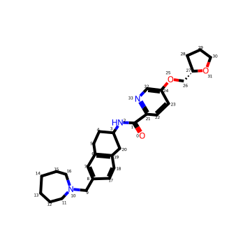 O=C(NC1CCc2cc(CN3CCCCCC3)ccc2C1)c1ccc(OC[C@@H]2CCCO2)cn1